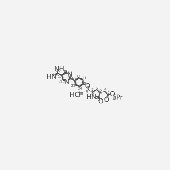 CC(C)OC(=O)C[C@@H]1C[C@@H](COc2ccc(-c3ncc(C(=N)N)cn3)cc2)NC1=O.Cl